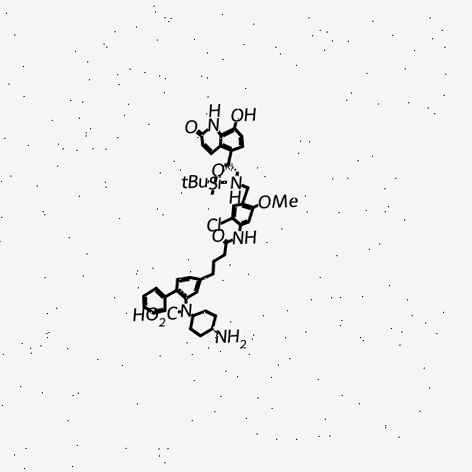 COc1cc(NC(=O)CCCc2ccc(-c3ccccc3)c(N(C(=O)O)[C@H]3CC[C@H](N)CC3)c2)c(Cl)cc1CNC[C@H](O[Si](C)(C)C(C)(C)C)c1ccc(O)c2[nH]c(=O)ccc12